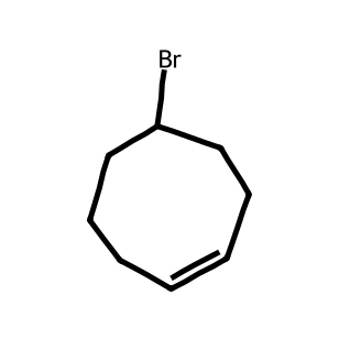 BrC1CCC=CCCC1